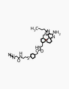 CCCCc1nc2c(N)nc3ccccc3c2n1Cc1ccc(CNC(=O)OCc2ccc(SCCNC(=O)CN=[N+]=[N-])cc2)cc1